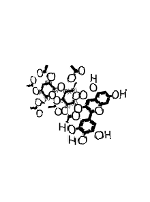 CC(=O)OC[C@H]1O[C@@H](Oc2c(-c3cc(O)c(O)c(O)c3)oc3cc(O)cc(O)c3c2=O)[C@H](OC(C)=O)[C@@H](OC(C)=O)[C@@H]1O[C@@H]1O[C@H](COC(C)=O)[C@H](OC(C)=O)C[C@H]1OC(C)=O